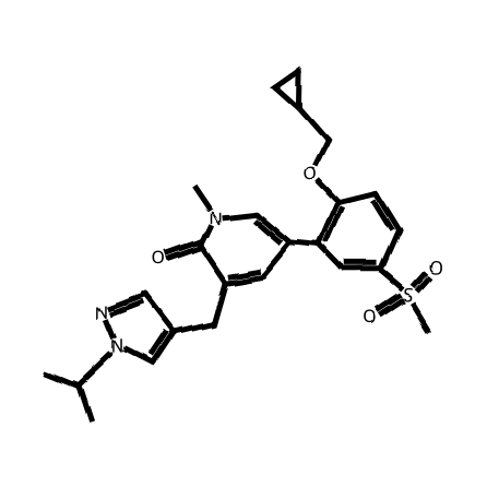 CC(C)n1cc(Cc2cc(-c3cc(S(C)(=O)=O)ccc3OCC3CC3)cn(C)c2=O)cn1